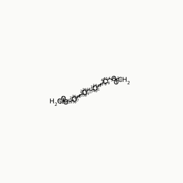 C=CC(=O)OCCc1ccc(C#Cc2ccc(CCc3ccc(C#Cc4ccc(CCOC(=O)C=C)cc4)cc3)cc2)cc1